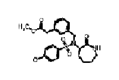 COC(=O)Cc1cccc(CN([C@@H]2CCCCNC2=O)S(=O)(=O)c2ccc(Cl)cc2)c1